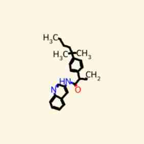 C=CC(C(=O)Nc1cnc2ccccc2c1)c1ccc(C(C)(C)CCCC)cc1